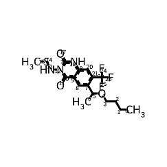 CCCCOC(C)c1cc2c(=O)n(NSC)c(=O)[nH]c2cc1C(F)(F)F